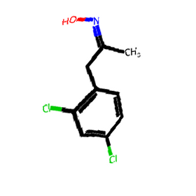 C/C(Cc1ccc(Cl)cc1Cl)=N/O